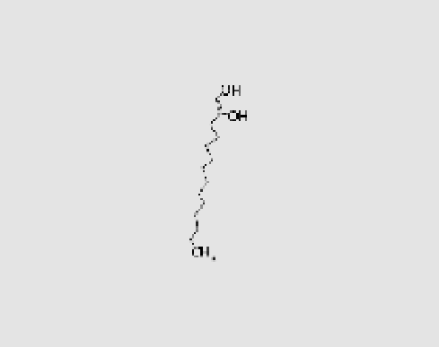 CCCCCCCCCCCCC(O)=CO